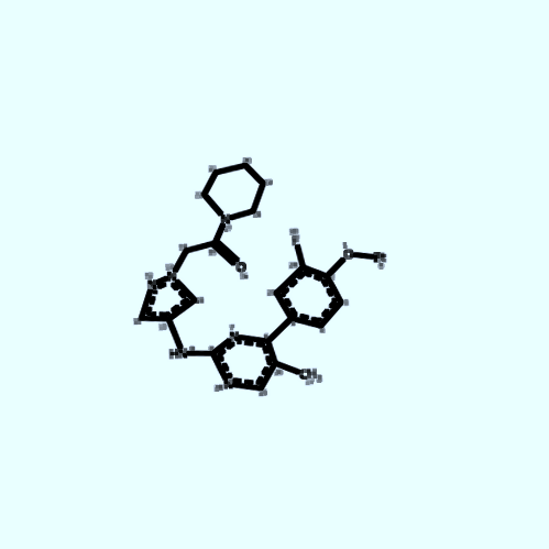 CCOc1ccc(-c2nc(Nc3cnn(CC(=O)N4CCCCC4)c3)ncc2C)cc1F